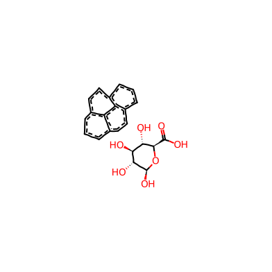 O=C(O)[C@H]1O[C@@H](O)[C@H](O)[C@@H](O)[C@@H]1O.c1cc2ccc3cccc4ccc(c1)c2c34